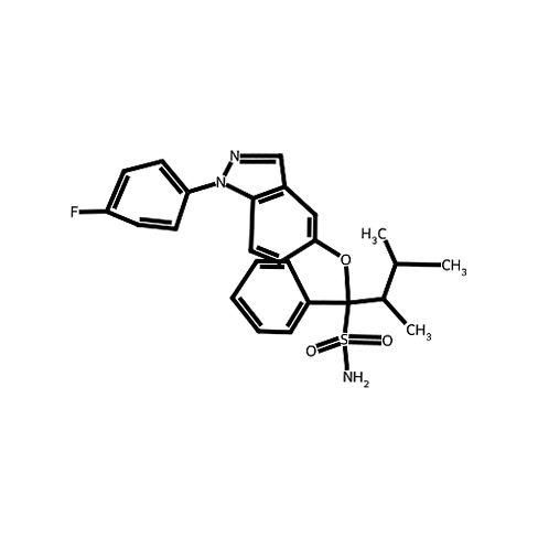 CC(C)C(C)C(Oc1ccc2c(cnn2-c2ccc(F)cc2)c1)(c1ccccc1)S(N)(=O)=O